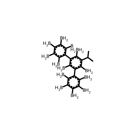 Bc1c(B)c(B)c(-c2c(B)c(-c3c(B)c(B)c(B)c(B)c3B)c(B)c(C(C)C)c2B)c(B)c1B